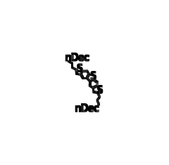 CCCCCCCCCCCCCc1cc2cc3c(cc2s1)sc1cc2sc(CCCCCCCCCCCCC)cc2cc13